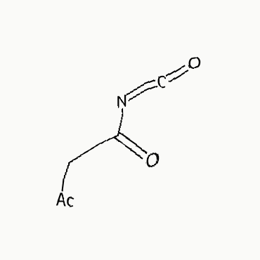 CC(=O)CC(=O)N=C=O